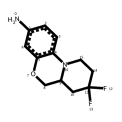 Nc1ccc2c(c1)OCC1CC(F)(F)CCN21